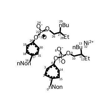 CCCCCCCCCc1ccc(OP(=O)([O-])OCC(CC)CCCC)cc1.CCCCCCCCCc1ccc(OP(=O)([O-])OCC(CC)CCCC)cc1.[Ni+2]